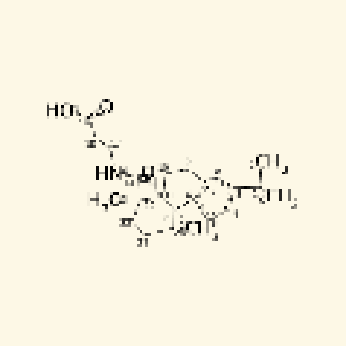 CC(C)c1ccc2c(c1)CC[C@H]1[C@](C)(C(=O)NCCC(=O)O)CCC[C@]21C